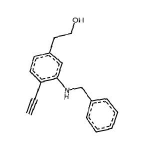 C#Cc1ccc(CCO)cc1NCc1ccccc1